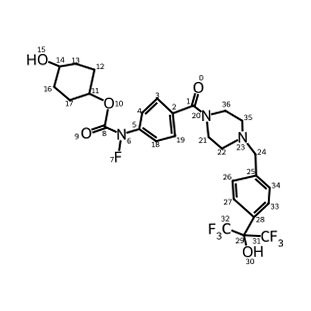 O=C(c1ccc(N(F)C(=O)OC2CCC(O)CC2)cc1)N1CCN(Cc2ccc(C(O)(C(F)(F)F)C(F)(F)F)cc2)CC1